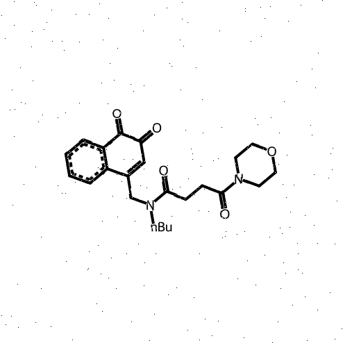 CCCCN(CC1=CC(=O)C(=O)c2ccccc21)C(=O)CCC(=O)N1CCOCC1